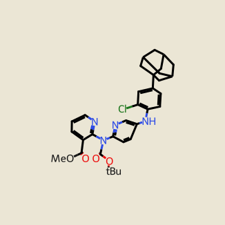 COC(=O)c1cccnc1N(C(=O)OC(C)(C)C)c1ccc(Nc2ccc(C34CC5CC(CC(C5)C3)C4)cc2Cl)cn1